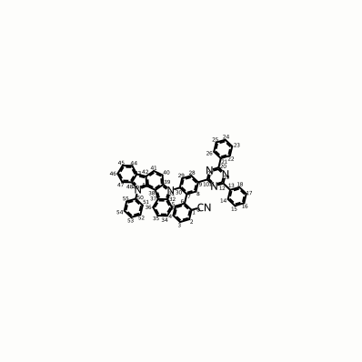 N#Cc1ccccc1-c1cc(-c2nc(-c3ccccc3)nc(-c3ccccc3)n2)ccc1-n1c2ccccc2c2c1ccc1c3ccccc3n(-c3ccccc3)c12